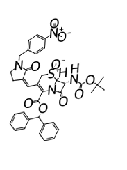 CC(C)(C)OC(=O)N[C@@H]1C(=O)N2C(C(=O)OC(c3ccccc3)c3ccccc3)=C(C=C3CCN(Cc4ccc([N+](=O)[O-])cc4)C3=O)C[S@+]([O-])[C@H]12